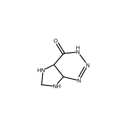 O=C1NN=NC2NCNC12